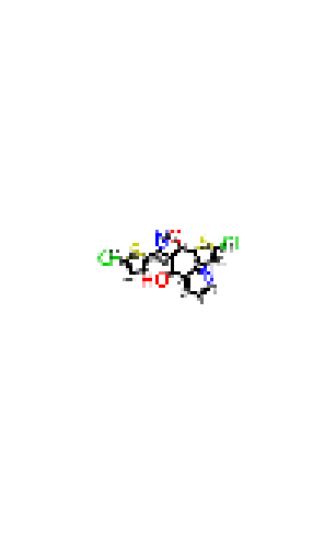 OC(c1cccnc1)c1c(-c2ccc(Cl)s2)noc1C1CC=C(Cl)S1